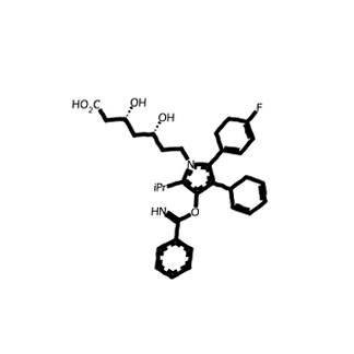 CC(C)c1c(OC(=N)c2ccccc2)c(C2C=CC=CC2)c(C2=CC=C(F)CC2)n1CC[C@@H](O)C[C@@H](O)CC(=O)O